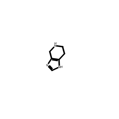 [C]1Cc2[nH]cnc2CN1